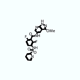 COc1n[nH]c2ncc(NC(=O)c3c(F)ccc(NS(=O)(=O)c4ccccn4)c3F)cc12